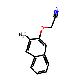 Cc1cc2ccccc2cc1OCC#N